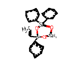 C=C[Si]1(c2ccccc2)O[SiH2]O[Si](c2ccccc2)(c2ccccc2)O1